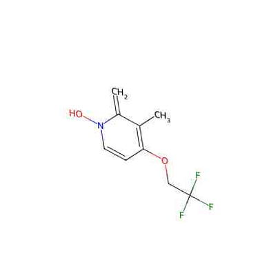 C=C1C(C)=C(OCC(F)(F)F)C=CN1O